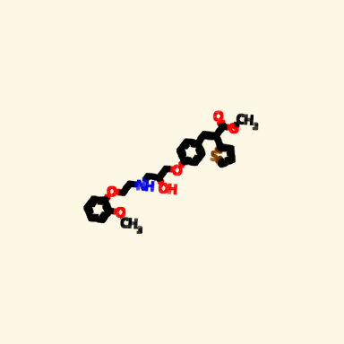 COC(=O)C(=Cc1ccc(OCC(O)CNCCOc2ccccc2OC)cc1)c1cccs1